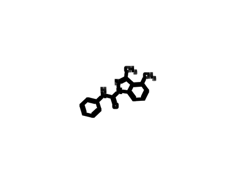 Cc1cccc2c1c(C)nn2C(=O)Nc1ccccc1